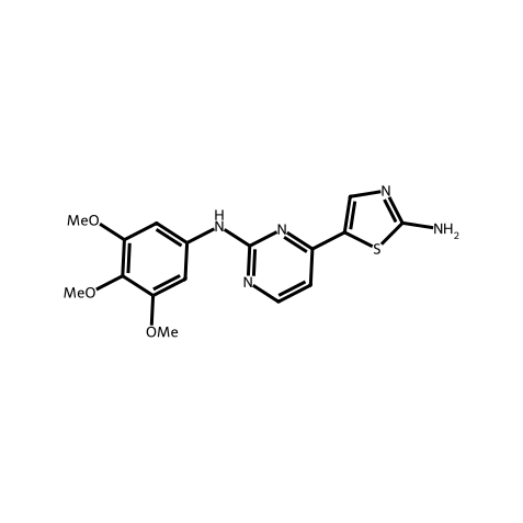 COc1cc(Nc2nccc(-c3cnc(N)s3)n2)cc(OC)c1OC